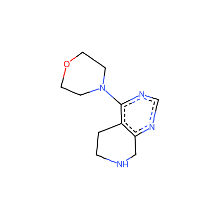 c1nc2c(c(N3CCOCC3)n1)CCNC2